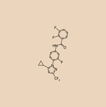 O=C(Nc1ccc(-n2nc(C(F)(F)F)cc2C2CC2)c(F)c1)c1cccc(F)c1F